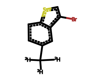 [2H]C([2H])([2H])c1ccc2scc(Br)c2c1